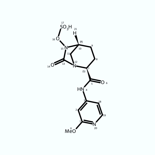 COc1cc(NC(=O)[C@@H]2CC[C@@H]3CN2C(=O)N3OS(=O)(=O)O)ccn1